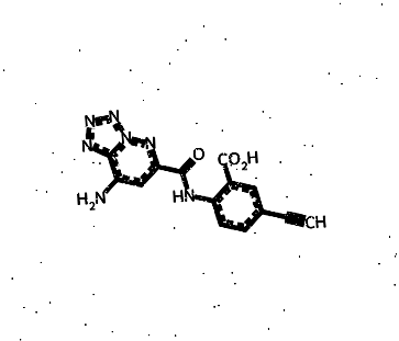 C#Cc1ccc(NC(=O)c2cc(N)c3nnnn3n2)c(C(=O)O)c1